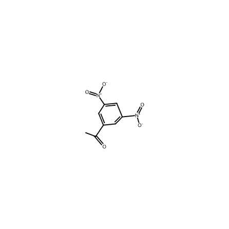 CC(=O)c1cc([N+](=O)[O-])cc([N+](=O)[O-])c1